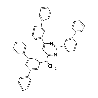 C=C(c1cc(-c2ccccc2)cc(-c2ccccc2)c1)c1nc(-c2cccc(-c3ccccc3)c2)nc(-c2cccc(-c3ccccc3)c2)n1